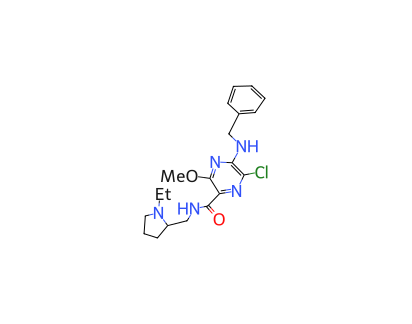 CCN1CCCC1CNC(=O)c1nc(Cl)c(NCc2ccccc2)nc1OC